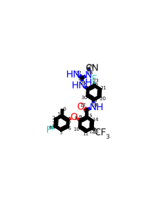 Cc1cc(F)ccc1Oc1ccc(C(F)(F)F)cc1C(=O)Nc1ccc(F)c(NC(=N)NC#N)c1